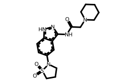 O=C(CN1CCCCC1)Nc1n[nH]c2ccc(N3CCCS3(=O)=O)cc12